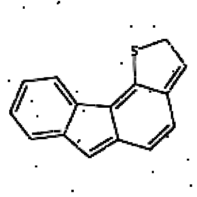 C1=c2ccc3c(c2SC1)-c1ccccc1C=3